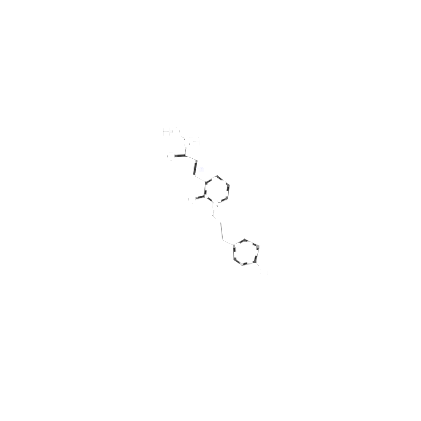 O=C(/C=C/c1cccn(CCCc2ccc(Cl)cc2)c1=O)NO